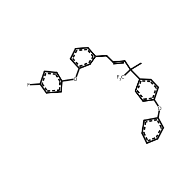 CC(C=CCc1cccc(Oc2ccc(F)cc2)c1)(c1ccc(Oc2ccccc2)cc1)C(F)(F)F